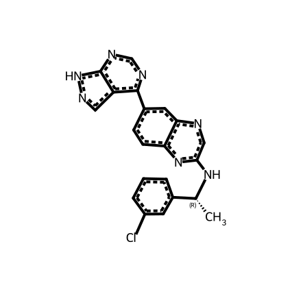 C[C@@H](Nc1cnc2cc(-c3ncnc4[nH]ncc34)ccc2n1)c1cccc(Cl)c1